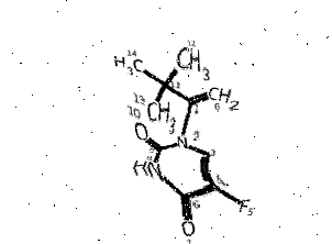 C=C(n1cc(F)c(=O)[nH]c1=O)C(C)(C)C